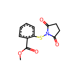 COC(=O)c1ccccc1SN1C(=O)CCC1=O